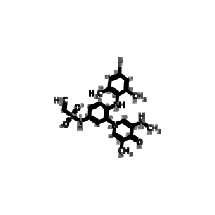 C=CS(=O)(=O)Nc1ccc(Nc2c(C)cc(F)cc2C)c(-n2cc(C)c(=O)c(NC)c2)c1